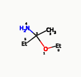 CCOC(C)(N)CC